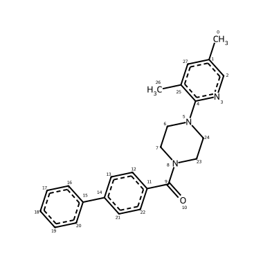 Cc1cnc(N2CCN(C(=O)c3ccc(-c4[c]cccc4)cc3)CC2)c(C)c1